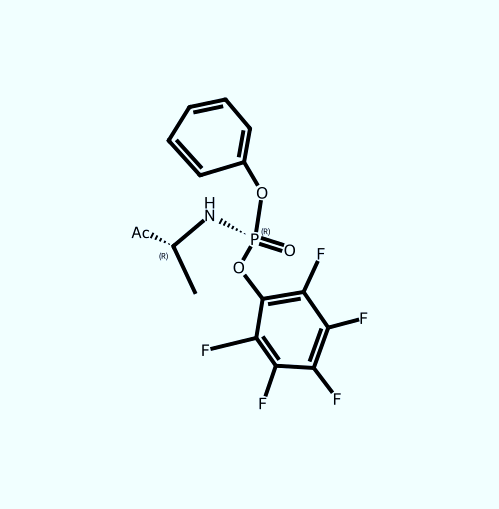 CC(=O)[C@@H](C)N[P@@](=O)(Oc1ccccc1)Oc1c(F)c(F)c(F)c(F)c1F